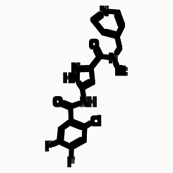 CCN(Cc1ccncc1)C(=O)c1cc(NC(=O)c2cc(F)c(F)cc2Cl)[nH]n1